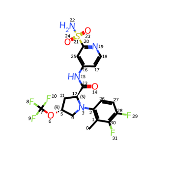 Cc1c(N2C[C@H](OC(F)(F)F)C[C@H]2C(=O)Nc2ccnc(S(N)(=O)=O)c2)ccc(F)c1F